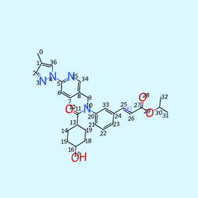 Cc1cnn(-c2ccc(CN(C(=O)C3CCC(O)CC3)c3cccc(/C=C/C(=O)OC(C)C)c3)cn2)c1